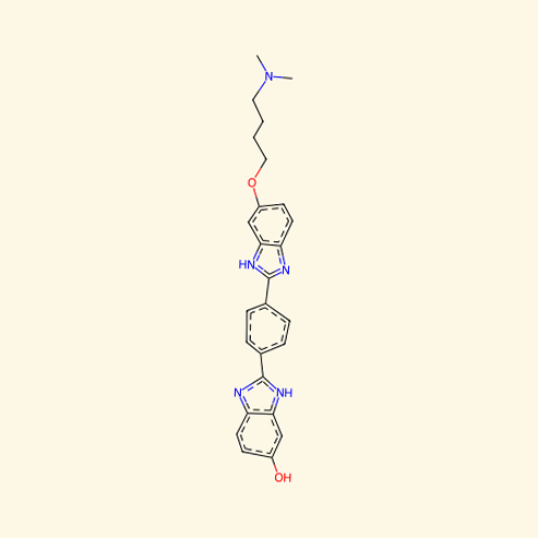 CN(C)CCCCOc1ccc2nc(-c3ccc(-c4nc5ccc(O)cc5[nH]4)cc3)[nH]c2c1